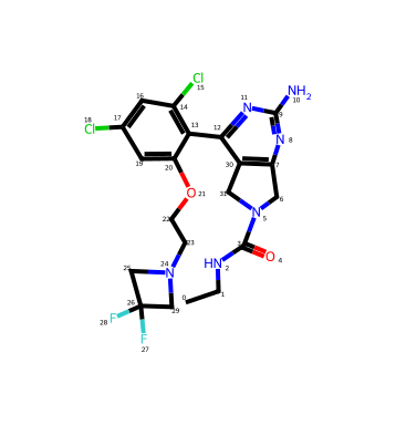 CCNC(=O)N1Cc2nc(N)nc(-c3c(Cl)cc(Cl)cc3OCCN3CC(F)(F)C3)c2C1